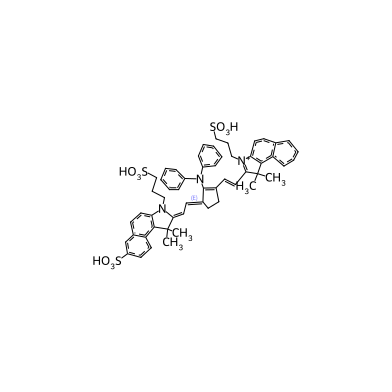 CC1(C)C(=C/C=C2\CCC(C=CC3=[N+](CCCS(=O)(=O)O)c4ccc5ccccc5c4C3(C)C)=C2N(c2ccccc2)c2ccccc2)N(CCCS(=O)(=O)O)c2ccc3cc(S(=O)(=O)O)ccc3c21